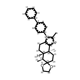 Cc1nc2c(n1-c1ccc(-c3ccccc3)cc1)CC[C@H]1[C@H](C)C3(CC[C@]21C)OCCO3